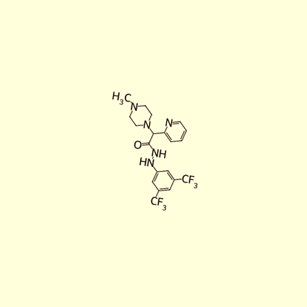 CN1CCN(C(C(=O)NNc2cc(C(F)(F)F)cc(C(F)(F)F)c2)c2ccccn2)CC1